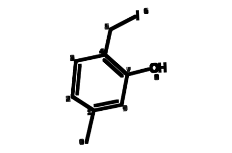 Cc1ccc(CI)c(O)c1